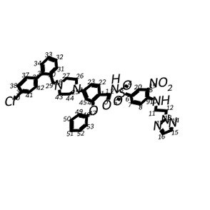 O=C(NS(=O)(=O)c1ccc(NCCn2nccn2)c([N+](=O)[O-])c1)c1ccc(N2CCN(Cc3ccccc3-c3ccc(Cl)cc3)CC2)cc1Oc1ccccc1